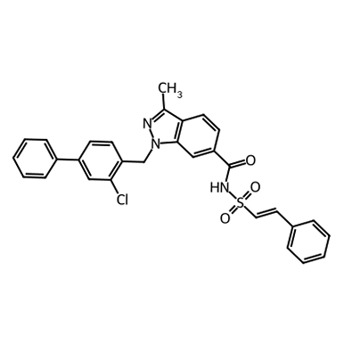 Cc1nn(Cc2ccc(-c3ccccc3)cc2Cl)c2cc(C(=O)NS(=O)(=O)C=Cc3ccccc3)ccc12